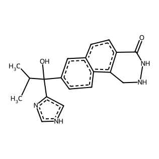 CC(C)C(O)(c1ccc2c3c(ccc2c1)C(=O)NNC3)c1c[nH]cn1